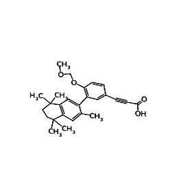 COCOc1ccc(C#CC(=O)O)cc1-c1cc2c(cc1C)C(C)(C)CCC2(C)C